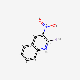 O=[N+]([O-])c1cc2ccccc2nc1I